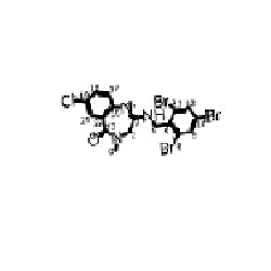 CN1CC(NCc2c(Br)cc(Br)cc2Br)=Nc2ccc(Cl)cc2C1=O